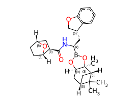 CC1(C)[C@@H]2C[C@H]3OB([C@H](C[C@@H]4COc5ccccc54)NC(=O)[C@@H]4C[C@H]5CC[C@@H]4O5)O[C@@]3(C)[C@H]1C2